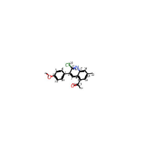 COc1ccc(-c2cc3c(C(C)=O)cc(C)cc3nc2Cl)cc1